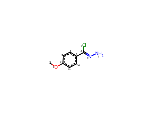 COc1ccc(C(Cl)=NN)cc1